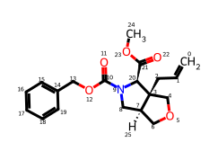 C=CC[C@@]12COC[C@H]1CN(C(=O)OCc1ccccc1)[C@H]2C(=O)OC